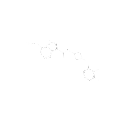 O=C(NC1CC(Oc2cccc(Cl)c2Cl)C1)c1cnn2c(CO)cccc12